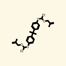 C=C(C)COC(CC)Oc1ccc(C(C)(C)c2ccc(OC(CC)OCC(=C)C)cc2)cc1